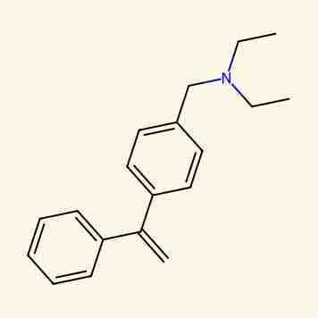 C=C(c1ccccc1)c1ccc(CN(CC)CC)cc1